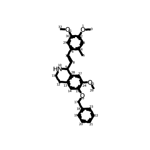 COc1cc(C)c(C=CC2NCCc3cc(OCc4ccccc4)c(OC)cc32)cc1OC